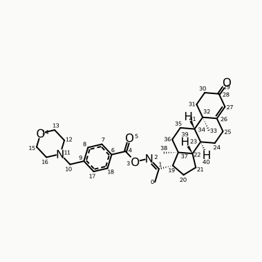 CC(=NOC(=O)c1ccc(CN2CCOCC2)cc1)[C@H]1CC[C@H]2[C@@H]3CCC4=CC(=O)CC[C@]4(C)[C@H]3CC[C@]12C